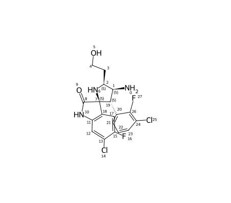 N[C@@H]1[C@H](CCO)N[C@@]2(C(=O)Nc3cc(Cl)c(F)cc32)[C@H]1c1cccc(Cl)c1F